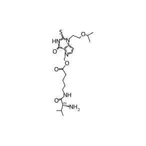 CC(C)OCCn1c(=S)[nH]c(=O)c2c1ccn2COC(=O)CCCCNC(=O)[C@@H](N)C(C)C